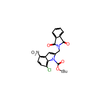 CC(C)(C)OC(=O)n1c(CN2C(=O)c3ccccc3C2=O)cc2c([N+](=O)[O-])ccc(Cl)c21